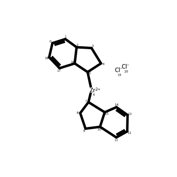 C1=CC2CC[CH]([Zr+2][CH]3CCC4C=CC=CC43)C2C=C1.[Cl-].[Cl-]